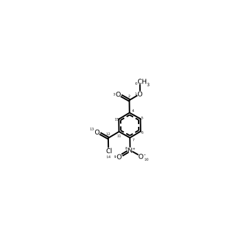 COC(=O)c1ccc([N+](=O)[O-])c(C(=O)Cl)c1